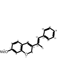 COc1ccc2c(c1)OCC(C(C)=Cc1ccccc1)=C2